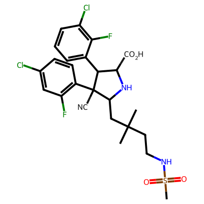 CC(C)(CCNS(C)(=O)=O)CC1NC(C(=O)O)C(c2cccc(Cl)c2F)C1(C#N)c1ccc(Cl)cc1F